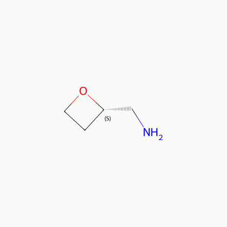 NC[C@@H]1CCO1